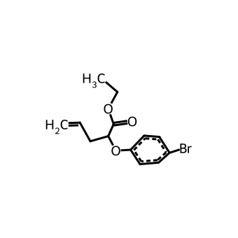 C=CCC(Oc1ccc(Br)cc1)C(=O)OCC